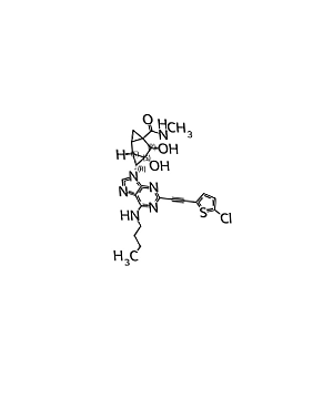 CCCCNc1nc(C#Cc2ccc(Cl)s2)nc2c1ncn2[C@@H]1[C@@H]2C3CC3(C(=O)NC)[C@@H](O)[C@]21O